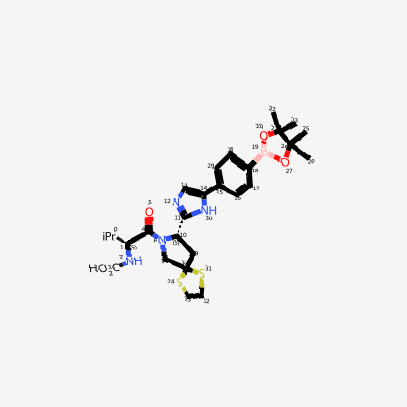 CC(C)[C@H](NC(=O)O)C(=O)N1CC2(C[C@H]1c1ncc(-c3ccc(B4OC(C)(C)C(C)(C)O4)cc3)[nH]1)SCCS2